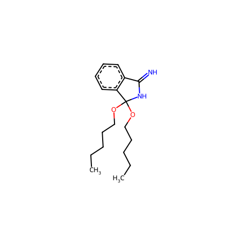 CCCCCOC1(OCCCCC)NC(=N)c2ccccc21